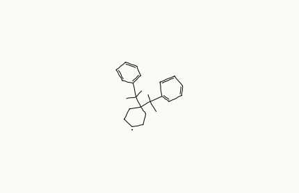 CC(C)(c1ccccc1)C1(C(C)(C)c2ccccc2)CC[CH]CC1